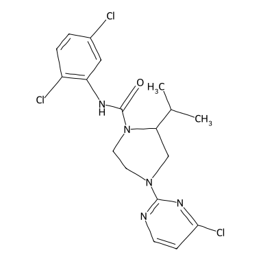 CC(C)C1CN(c2nccc(Cl)n2)CCN1C(=O)Nc1cc(Cl)ccc1Cl